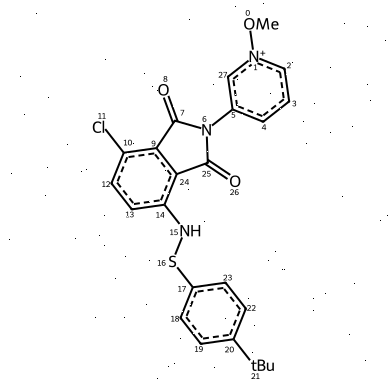 CO[n+]1cccc(N2C(=O)c3c(Cl)ccc(NSc4ccc(C(C)(C)C)cc4)c3C2=O)c1